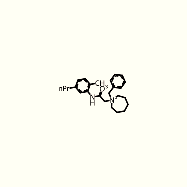 CCCc1ccc(C)c(NC(=O)C[N+]2(Cc3ccccc3)CCCCCC2)c1